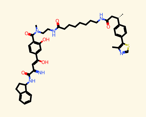 Cc1ncsc1-c1ccc([C@@H](C)CC(=O)NCCCCCCCC(=O)NCCN(C)C(=O)c2ccc(/C(O)=C/C(=N)C(=O)NC3CCc4ccccc43)cc2O)cc1